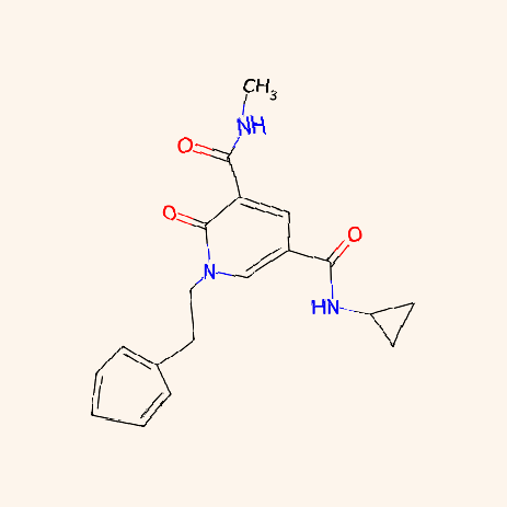 CNC(=O)c1cc(C(=O)NC2CC2)cn(CCc2ccccc2)c1=O